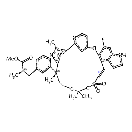 COC(=O)[C@H](C)Cc1cccc([C@@]2(C)CCCC(C)(C)CS(=O)(=O)/C=C/c3c(c(F)cc4[nH]ccc34)Oc3ccnc(c3)-c3nc2nn3C)c1